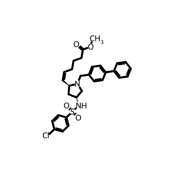 COC(=O)CCC/C=C\[C@@H]1C[C@@H](NS(=O)(=O)c2ccc(Cl)cc2)CN1Cc1ccc(-c2ccccc2)cc1